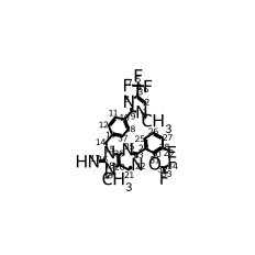 Cn1cc(C(F)(F)F)nc1-c1ccc(Cn2c(=N)n(C)c3cnc(-c4cccc(F)c4OC(F)F)nc32)cc1